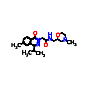 Cc1ccc2c(=O)n(CC(=O)NCC3CN(C)CCO3)nc(C(C)C)c2c1